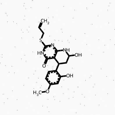 C=CCSc1nc2c(c(=O)[nH]1)C(c1ccc(OC)cc1O)CC(O)N2